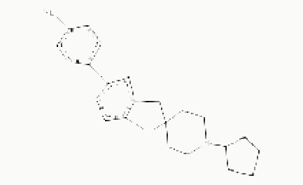 N#Cc1ccc(-c2ccc3c(c2)CC2(CCN(C4CCCC4)CC2)O3)cc1